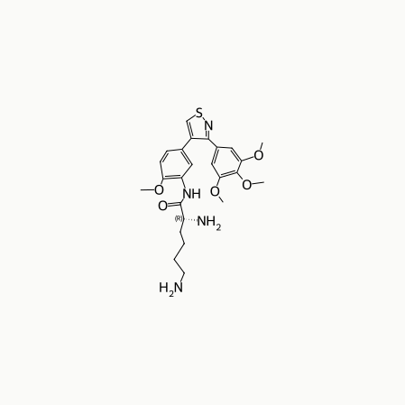 COc1ccc(-c2csnc2-c2cc(OC)c(OC)c(OC)c2)cc1NC(=O)[C@H](N)CCCCN